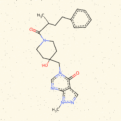 CC(CCc1ccccc1)C(=O)N1CCC(O)(Cn2cnc3c(cnn3C)c2=O)CC1